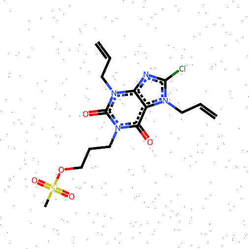 C=CCn1c(Cl)nc2c1c(=O)n(CCCOS(C)(=O)=O)c(=O)n2CC=C